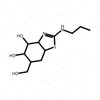 CCCNC1=NC2C(CC(CO)C(O)C2O)S1